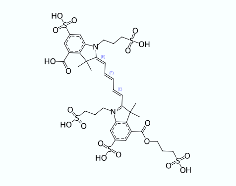 CC1(C)C(/C=C/C=C/C=C2/N(CCCS(=O)(=O)O)c3cc(S(=O)(=O)O)cc(C(=O)O)c3C2(C)C)=[N+](CCCS(=O)(=O)O)c2cc(S(=O)(=O)O)cc(C(=O)OCCCS(=O)(=O)O)c21